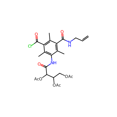 C=CCNC(=O)c1c(C)c(NC(=O)C(OC(C)=O)C(COC(C)=O)OC(C)=O)c(C)c(C(=O)Cl)c1C